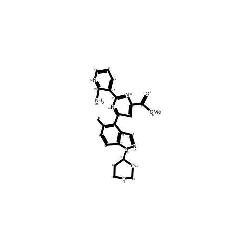 COC(=O)c1cc(-c2c(C)ccc3c2cnn3C2CCCCO2)nc(-c2cccnc2N)n1